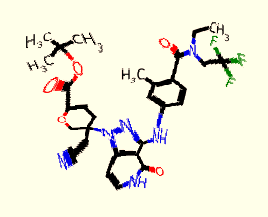 CCN(CC(F)(F)F)C(=O)c1ccc(Nc2nn(C3(CC#N)CCC(C(=O)OC(C)(C)C)OC3)c3cc[nH]c(=O)c23)cc1C